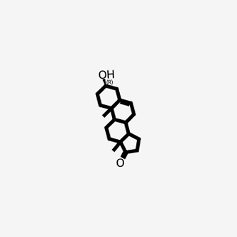 CC12CCC3C(CC=C4C[C@H](O)CCC43C)C1CCC2=O